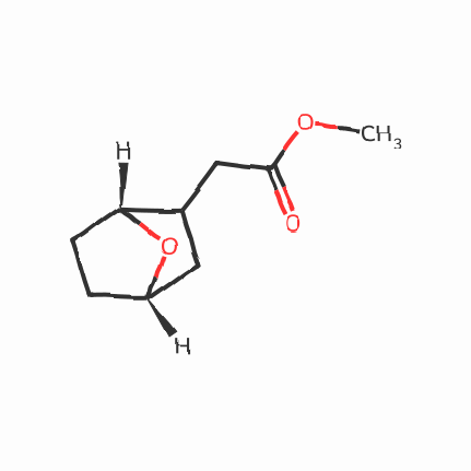 COC(=O)CC1C[C@@H]2CC[C@H]1O2